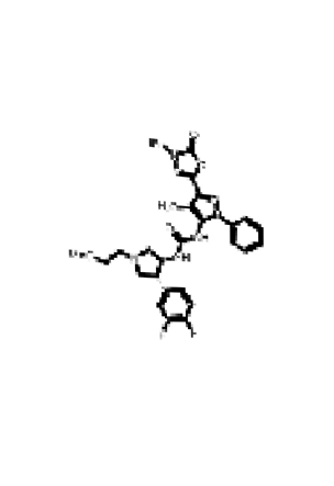 COCCN1C[C@@H](NC(=O)Nc2c(C)c(-c3nn(C(C)C)c(=O)o3)nn2-c2ccccc2)[C@H](c2ccc(F)c(F)c2)C1